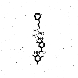 Cc1cc(C)c(NC(=O)c2ccc3nc(NC(=O)NCCCc4ccccc4)sc3c2)c(C)c1